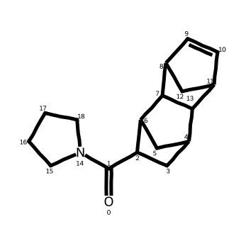 O=C(C1CC2CC1C1C3C=CC(C3)C21)N1CCCC1